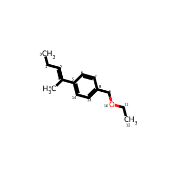 CC/C=C(\C)c1ccc(COCC)cc1